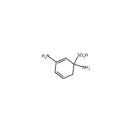 NC1=CC(N)(S(=O)(=O)O)CC=C1